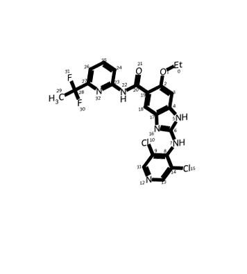 CCOc1cc2[nH]c(Nc3c(Cl)cncc3Cl)nc2cc1C(=O)Nc1cccc(C(C)(F)F)n1